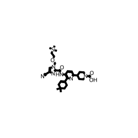 CC1(C)CC=C(c2nc(C3CCN(C(=O)O)CC3)ccc2NC(=O)c2nc(C#N)cn2COCC[Si](C)(C)C)CC1